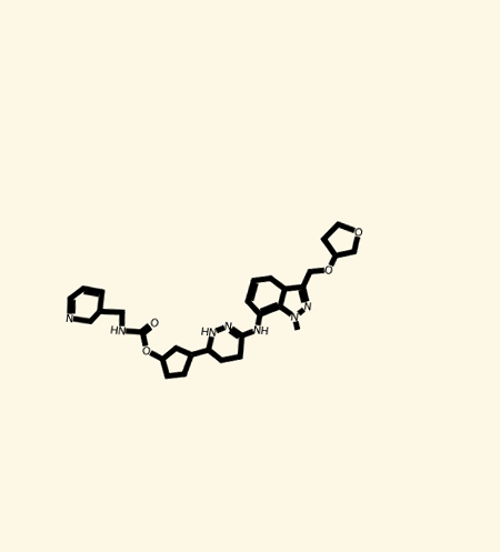 CN1N=C(COC2CCOC2)C2CC=CC(NC3=NNC(C4CCC(OC(=O)NCC5C=CC=NC5)C4)CC3)=C21